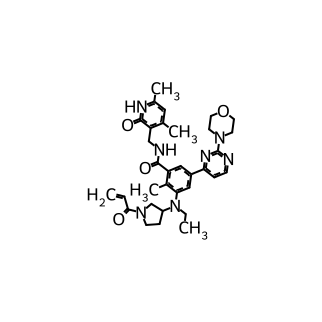 C=CC(=O)N1CCC(N(CC)c2cc(-c3ccnc(N4CCOCC4)n3)cc(C(=O)NCc3c(C)cc(C)[nH]c3=O)c2C)C1